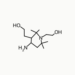 CC1(C)CC(N)C(CCO)C(C)(C)N1CCO